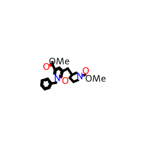 COC(=O)c1cc(CC2CCCN(C(=O)OC)C2)c(=O)n(Cc2ccccc2)c1